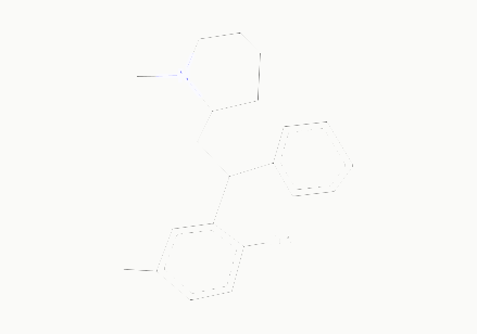 CC(=O)Oc1ccc(C)cc1C(CC1CCCCN1C)c1ccccc1